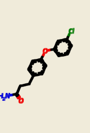 NC(=O)CCc1ccc(Oc2cccc(Cl)c2)cc1